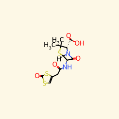 CC1(C)S[C@@H]2[C@H](NC(=O)Cc3csc(=O)s3)C(=O)N2[C@H]1C(=O)O